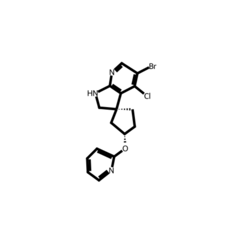 Clc1c(Br)cnc2c1[C@]1(CC[C@H](Oc3ccccn3)C1)CN2